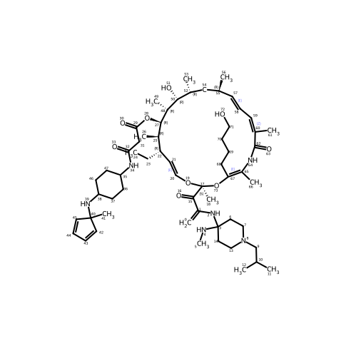 C=C(NC1(NC)CCN(CC(C)C)CC1)C(=O)[C@@]1(C)O/C=C/[C@H](CC)[C@@H](C)[C@@H](OC(=O)CC(=O)NC2CCC(NC3(C)C=CC=C3)CC2)[C@H](C)[C@H](O)[C@H](C)C[C@@H](C)/C=C/C=C(/C)C(=O)N/C(C)=C(\CCCCO)O1